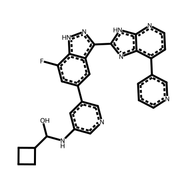 OC(Nc1cncc(-c2cc(F)c3[nH]nc(-c4nc5c(-c6cccnc6)ccnc5[nH]4)c3c2)c1)C1CCC1